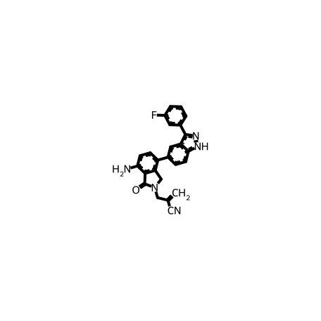 C=C(C#N)CN1Cc2c(-c3ccc4[nH]nc(-c5cccc(F)c5)c4c3)ccc(N)c2C1=O